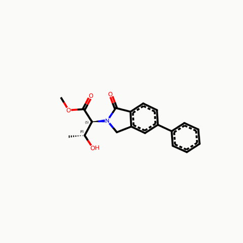 COC(=O)[C@H]([C@@H](C)O)N1Cc2cc(-c3ccccc3)ccc2C1=O